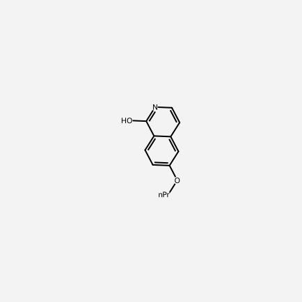 CCCOc1ccc2c(O)nccc2c1